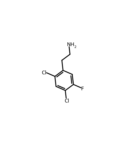 NCCc1cc(F)c(Cl)cc1Cl